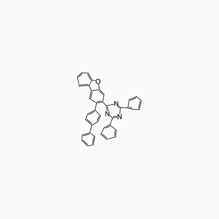 c1ccc(-c2ccc(-c3cc4c(cc3-c3nc(-c5ccccc5)nc(-c5ccccc5)n3)oc3ccccc34)cc2)cc1